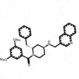 COc1cc(OC)cc(C(=O)N2CC[C@H](NCc3cnc4ccccc4c3)C[C@H]2Cc2ccccc2)c1